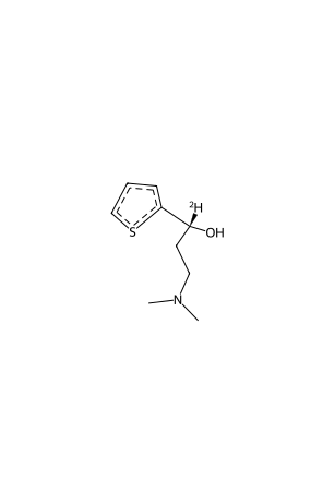 [2H][C@@](O)(CCN(C)C)c1cccs1